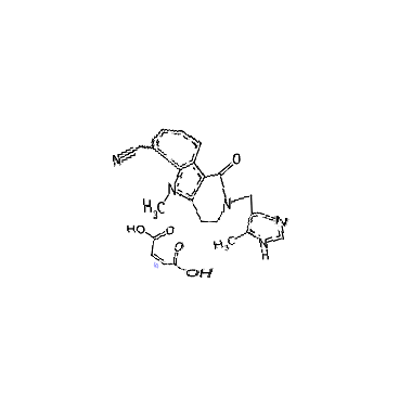 Cc1[nH]cnc1CN1CCc2c(c3cccc(C#N)c3n2C)C1=O.O=C(O)/C=C\C(=O)O